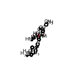 COc1cc(CN2CCN(C3CC4(CCN(c5ccc(C(=O)NS(=O)(=O)c6ccc(NC[C@H]7CC[C@](C)(O)CC7)c([N+](=O)[O-])c6)c(N6c7cc8cc[nH]c8nc7O[C@H]7COCC[C@@H]76)c5)CC4)C3)[C@H](c3ccccc3C(C)C)C2)ccc1C1CC1